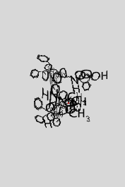 COP(=O)(O)C[C@H]1O[C@H](CO)[C@@H](OCc2ccccc2)[C@H](OCc2ccccc2)[C@@]1(CC(=O)NOC[C@H]1O[C@H](OCCNC(=O)c2ccccc2C(=O)O)C[C@@H](OCc2ccccc2)[C@@H]1OCc1ccccc1)NC(C)=O